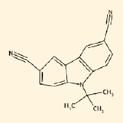 CC(C)(C)n1c2ccc(C#N)cc2c2cc(C#N)ccc21